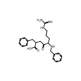 N=C(N)NCCCC(NCc1ccccc1)C(=O)CC(Cc1ccccc1)C(=O)O